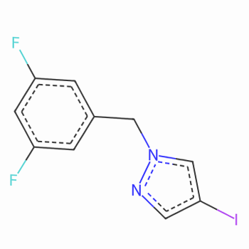 Fc1cc(F)cc(Cn2cc(I)cn2)c1